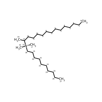 CCCCCCCCCCCCCC(C)[N+](C)(C)CCCCCCCCCC